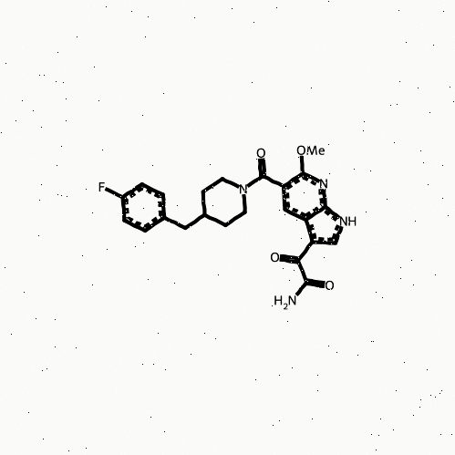 COc1nc2[nH]cc(C(=O)C(N)=O)c2cc1C(=O)N1CCC(Cc2ccc(F)cc2)CC1